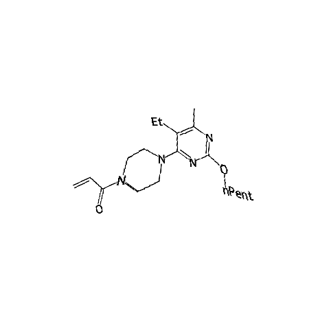 C=CC(=O)N1CCN(c2nc(OCCCCC)nc(C)c2CC)CC1